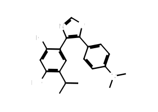 CC(C)c1cc(-c2ncoc2-c2ccc(N(C)C)cc2)c(O)cc1O